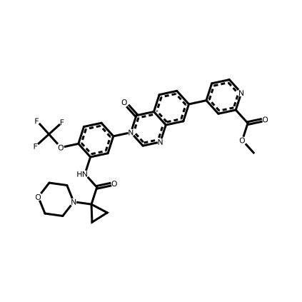 COC(=O)c1cc(-c2ccc3c(=O)n(-c4ccc(OC(F)(F)F)c(NC(=O)C5(N6CCOCC6)CC5)c4)cnc3c2)ccn1